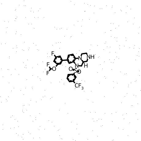 O=S(=O)(c1cccc(C(F)(F)F)c1)N1C[C@@H]2CNCCN2c2ccc(-c3cc(F)cc(OC(F)F)c3)cc21